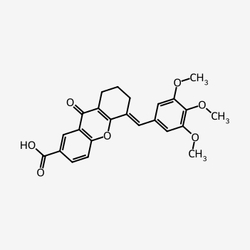 COc1cc(C=C2CCCc3c2oc2ccc(C(=O)O)cc2c3=O)cc(OC)c1OC